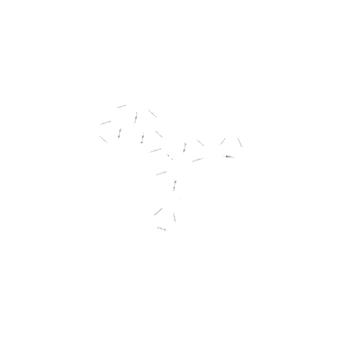 C1=C2Sc3ccccc3C2CC=C1N(c1ccc2c(ccc3ccc4ccccc4c32)c1)c1ccc2c(c1)sc1ccccc12